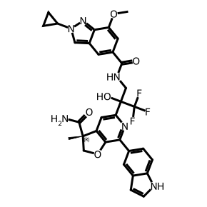 COc1cc(C(=O)NCC(O)(c2cc3c(c(-c4ccc5[nH]ccc5c4)n2)OC[C@]3(C)C(N)=O)C(F)(F)F)cc2cn(C3CC3)nc12